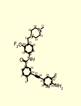 Cc1ccc(C(=O)Nc2ccc(CN3CCN(C)CC3)c(C(F)(F)F)c2)cc1C#Cc1cnc(N)c(F)c1